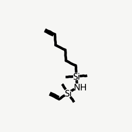 C=CCCCC[Si](C)(C)N[Si](C)(C)C=C